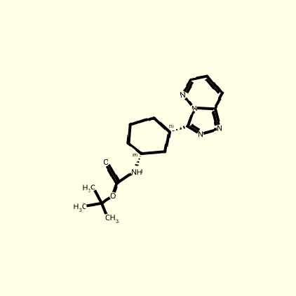 CC(C)(C)OC(=O)N[C@@H]1CCC[C@H](c2nnc3cccnn23)C1